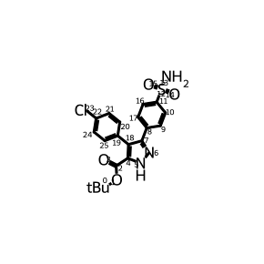 CC(C)(C)OC(=O)c1[nH]nc(-c2ccc(S(N)(=O)=O)cc2)c1-c1ccc(Cl)cc1